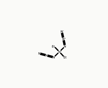 CC[N+](CC)(N=[N+]=[N-])N=[N+]=[N-]